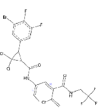 C=C(Cl)/C(=C\C(=C/C)NC(=O)C1C(c2cc(F)c(F)c(Br)c2)C1(Cl)Cl)C(=O)NCC(F)(F)F